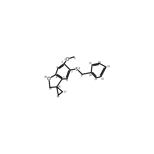 COc1cc2c(cc1SCc1ccccc1)C1(CC1)CO2